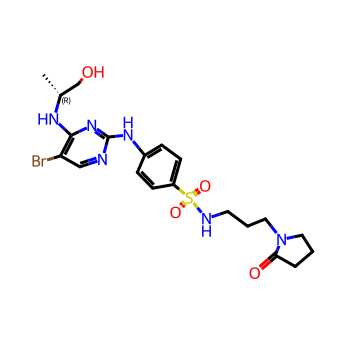 C[C@H](CO)Nc1nc(Nc2ccc(S(=O)(=O)NCCCN3CCCC3=O)cc2)ncc1Br